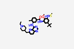 CCN1CCC(Cc2ccc3ncnc(Nc4cc(C(=O)Nc5cc(C(C)(C)C)cc(NSC)c5OC)ccc4C)c3n2)CC1